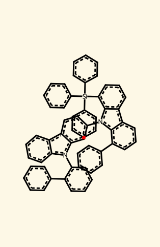 c1ccc(-c2ccccc2-n2c3ccccc3c3ccc(-n4c5c(-c6ccccc6)cccc5c5cccc([Si](c6ccccc6)(c6ccccc6)c6ccccc6)c54)cc32)cc1